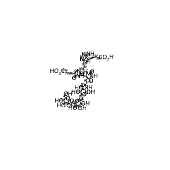 CC(Cn1cc(/C=C/C(=O)NC2[C@@H](O)[C@H](O)C(COC3OC(COC4OC(CO)[C@@H](O)[C@H](O)C4O)[C@@H](O)[C@H](O)C3O)O[C@@H]2O)c(=O)[nH]c1=O)C(CCn1cc(C#CCCC(=O)O)c2c(N)ncnc21)Cn1cc(C#CCCC(=O)O)c(=O)[nH]c1=O